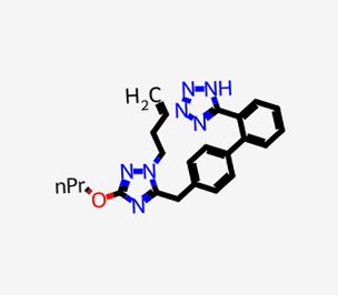 C=CCCn1nc(OCCC)nc1Cc1ccc(-c2ccccc2-c2nnn[nH]2)cc1